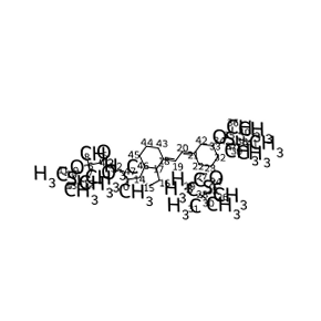 C[C@@H](COC(=O)C(C)(C)O[Si](C)(C)C)[C@H]1CCC2/C(=C/C=C3C[C@@H](O[Si](C)(C)C(C)(C)C)C[C@H](O[Si](C)(C)C(C)(C)C)C3)CCC[C@@]21C